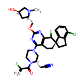 C=C(F)C(=O)N1CCN(c2nc(OC[C@@H]3C[C@@H](O)CN3C)nc3c2CC[C@@]2(CCc4c(Cl)cccc42)C3F)C[C@@H]1CC#N